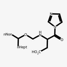 CCCCCCCCCC(CCCCCCC)OCNC(CC(=O)O)C(=O)n1ccnc1